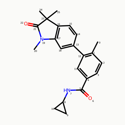 Cc1ccc(C(=O)NC2CC2)cc1-c1ccc2c(c1)N(C)C(=O)C2(C)C